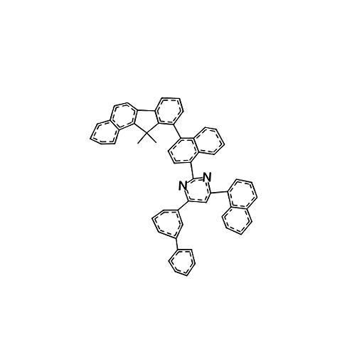 CC1(C)c2c(cccc2-c2ccc(-c3nc(-c4cccc(-c5ccccc5)c4)cc(-c4cccc5ccccc45)n3)c3ccccc23)-c2ccc3ccccc3c21